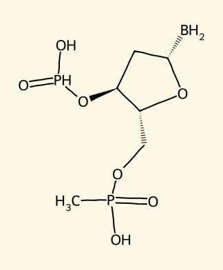 B[C@H]1C[C@H](O[PH](=O)O)[C@@H](COP(C)(=O)O)O1